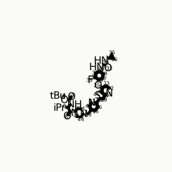 CC(C)C(NC(=O)OC(C)(C)C)C(=O)N1CCN(Cc2ccc(-c3cc4nccc(Oc5ccc(NC(=O)NC6CC6)cc5F)c4s3)nc2)CC1